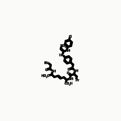 CC(C)CC(NC(=O)Cc1ccc(NC(=C[N+](=O)[O-])Nc2ccc(Cl)cc2)cc1)C(=O)NC(CC=CCC(NC(=O)CC(C)(C)C)C(=O)O)C(=O)O